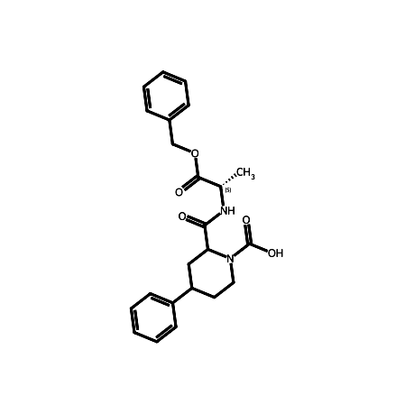 C[C@H](NC(=O)C1CC(c2ccccc2)CCN1C(=O)O)C(=O)OCc1ccccc1